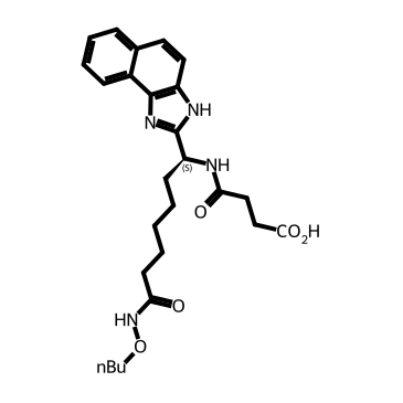 CCCCONC(=O)CCCCC[C@H](NC(=O)CCC(=O)O)c1nc2c(ccc3ccccc32)[nH]1